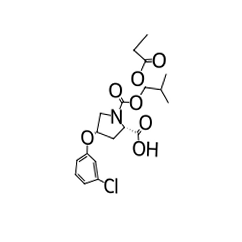 CCC(=O)O[C@H](OC(=O)N1C[C@@H](Oc2cccc(Cl)c2)C[C@H]1C(=O)O)C(C)C